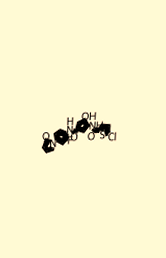 O=C(N[C@H]1C[C@@H](C(=O)Nc2ccc(N3CCCC3=O)cc2F)C[C@@H]1O)c1ccc(Cl)s1